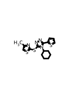 Cc1csc(Sc2nnc(-c3cccs3)n2C2CCCCC2)n1